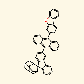 c1ccc2c(c1)-c1cc(-c3c4ccccc4c(-c4ccc5c(c4)oc4ccccc45)c4ccccc34)ccc1C21C2CC3CC(C2)CC1C3